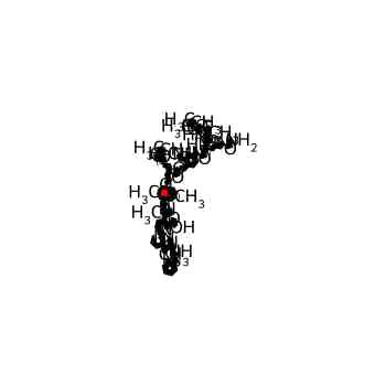 CNCc1cc(NC(=O)[C@H](CCCNC(N)=O)NC(=O)[C@@H](NC(=O)OC(C)(C)C)C(C)C)ccc1COC(=O)N(CCO[C@@]12CC3(Cn4ncc(-c5ccc(N6CCCc7c6nnc(Nc6nc8ccccc8s6)c7C)nc5C(=O)O)c4C)C[C@@](C)(C[C@@](C)(C3)C1)C2)CC[C@H]1COC(C)(C)O1